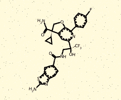 NC(=O)[C@@]1(C2CC2)COc2c1cc([C@@](O)(CNC(=O)c1ccc3nc(N)sc3c1)C(F)(F)F)nc2-c1ccc(F)cc1